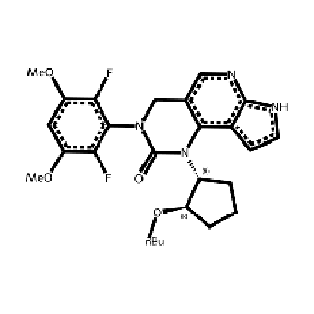 CCCCO[C@@H]1CCC[C@H]1N1C(=O)N(c2c(F)c(OC)cc(OC)c2F)Cc2cnc3[nH]ccc3c21